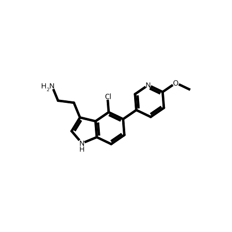 COc1ccc(-c2ccc3[nH]cc(CCN)c3c2Cl)cn1